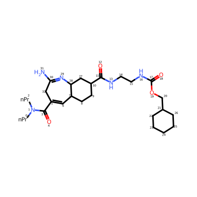 CCCN(CCC)C(=O)C1=CC2CCC(C(=O)NCCNC(=O)OCC3CCCCC3)CC2N=C(N)C1